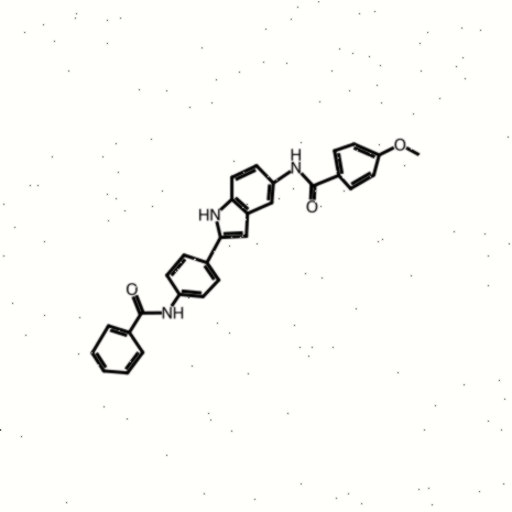 COc1ccc(C(=O)Nc2ccc3[nH]c(-c4ccc(NC(=O)c5ccccc5)cc4)cc3c2)cc1